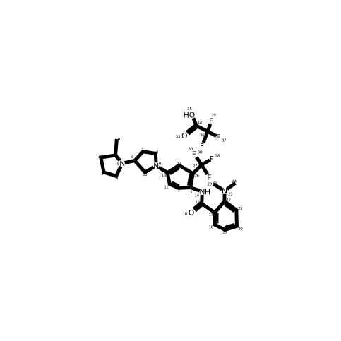 CC1CCCN1C1CCN(c2ccc(NC(=O)c3ccccc3N(C)C)c(C(F)(F)F)c2)C1.O=C(O)C(F)(F)F